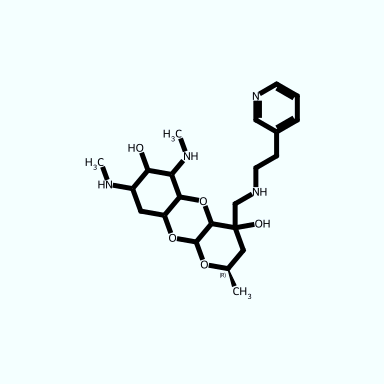 CNC1CC2OC3O[C@H](C)CC(O)(CNCCc4cccnc4)C3OC2C(NC)C1O